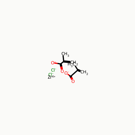 C=C(C)C(=O)[O-].C=C(C)C(=O)[O-].[Cl-].[Cl-].[Zr+4]